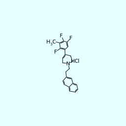 Cc1c(F)c(F)cc(C2=CCN(CCc3ccc4ccccc4c3)CC2)c1F.Cl